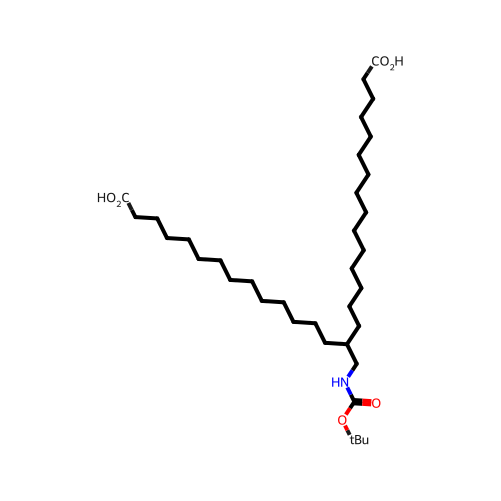 CC(C)(C)OC(=O)NCC(CCCCCCCCCCCCCCC(=O)O)CCCCCCCCCCCCCC(=O)O